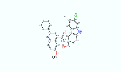 COc1ccc2nc(C3=CC=CCC3)cc(C(=O)NC3(CO)CCc4[nH]c5cc(Cl)c(F)cc5c4C3)c2c1